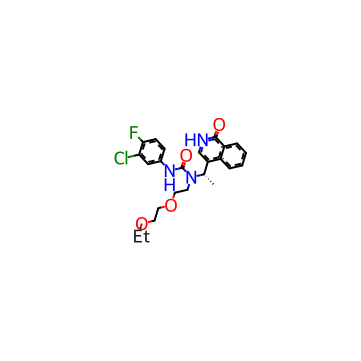 CCOCCOCCN(C(=O)Nc1ccc(F)c(Cl)c1)[C@@H](C)c1c[nH]c(=O)c2ccccc12